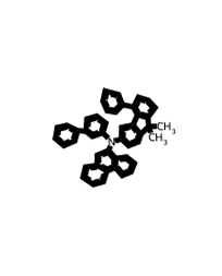 CC1(C)c2ccc(N(c3cccc(-c4ccccc4)c3)c3cc4ccccc4c4ccccc34)cc2-c2c(-c3ccccc3)cccc21